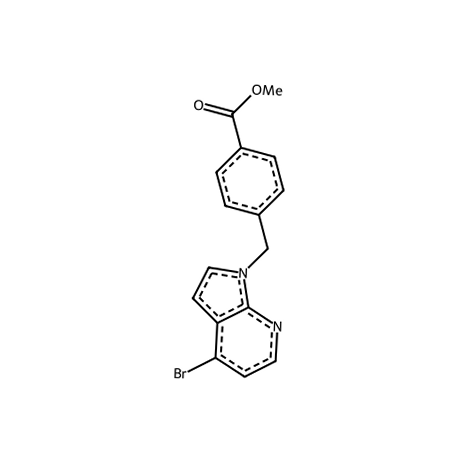 COC(=O)c1ccc(Cn2ccc3c(Br)ccnc32)cc1